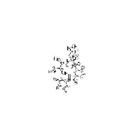 C[C@H]1C2CC(S(=O)(=O)c3cc(C(=O)Nc4cc(F)c(F)c(F)c4)ccc3Cl)CC1[C@@]2(O)COC[C@H](O)C(O)CO